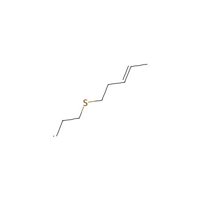 [CH2]CCSCCC=CC